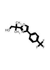 CC(C)(CO)c1nc(-c2ccc(C(F)(F)F)cc2)co1